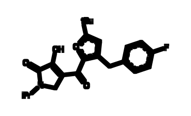 CC(C)N1CC(C(=O)c2oc(C(C)(C)C)cc2Cc2ccc(F)cc2)=C(O)C1=O